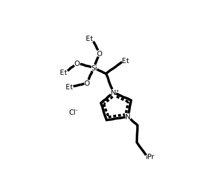 CCO[Si](OCC)(OCC)C(CC)[n+]1ccn(CCC(C)C)c1.[Cl-]